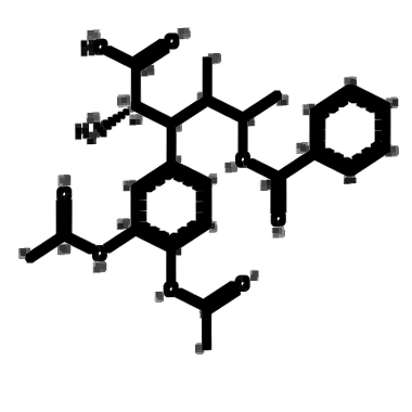 CC(=O)Oc1ccc(C(C(C)C(C)OC(=O)c2ccccc2)[C@H](N)C(=O)O)cc1OC(C)=O